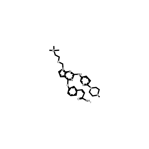 CN1CCN(c2ccc(Nc3nc(Oc4cccc(C=CC(N)=O)c4)c4ccn(COCC[Si](C)(C)C)c4n3)cn2)CC1